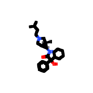 CC(C)CCN1CC2[C@H](C1)[C@H]2NC(=O)C(O)(c1ccccc1)C1CCCCC1